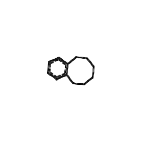 [c]1cccc2c1CCCCCC2